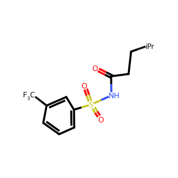 CC(C)CCC(=O)NS(=O)(=O)c1cccc(C(F)(F)F)c1